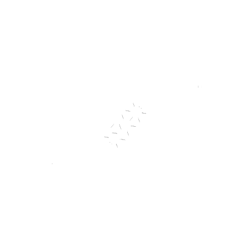 O=C1c2ccc3c4ccc5c6c(ccc(c7ccc(c2c37)C(=O)N1CCOCCOCCOCCO)c64)C(=O)N(CCOCCOCCOCCO)C5=O